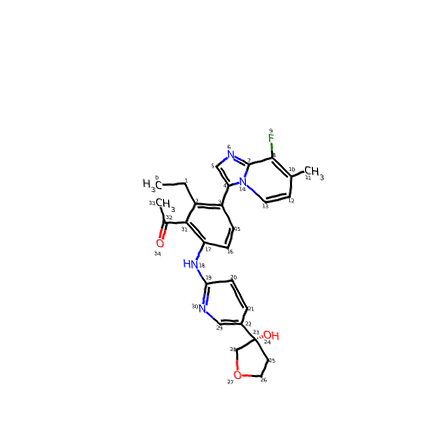 CCc1c(-c2cnc3c(F)c(C)ccn23)ccc(Nc2ccc([C@@]3(O)CCOC3)cn2)c1C(C)=O